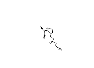 CCOC(=O)CCN1CCNC1=C(C#N)C#N